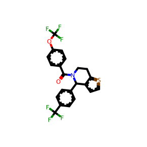 O=C(c1ccc(OC(F)(F)F)cc1)N1CCc2sccc2C1c1ccc(C(F)(F)F)cc1